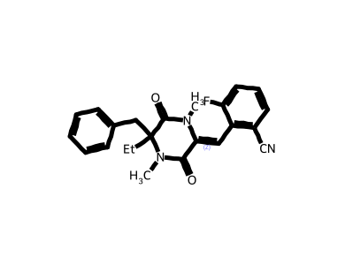 CCC1(Cc2ccccc2)C(=O)N(C)/C(=C\c2c(F)cccc2C#N)C(=O)N1C